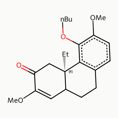 CCCCOc1c(OC)ccc2c1[C@]1(CC)CC(=O)C(OC)=CC1CC2